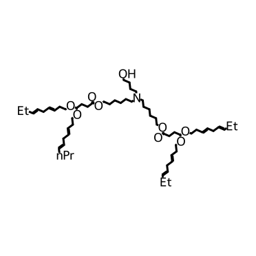 CCC=CCC=CCCOC(CCC(=O)OCCCCCCN(CCCCO)CCCCCCOC(=O)CCC(OCCC=CCC=CCC)OCCC=CCC=CCCC)OCCC=CCC=CCC